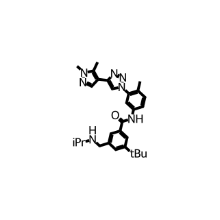 Cc1ccc(NC(=O)c2cc(CNC(C)C)cc(C(C)(C)C)c2)cc1-n1cc(-c2cnn(C)c2C)nn1